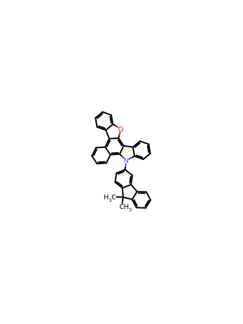 CC1(C)c2ccccc2-c2cc(-n3c4ccccc4c4c5oc6ccccc6c5c5ccccc5c43)ccc21